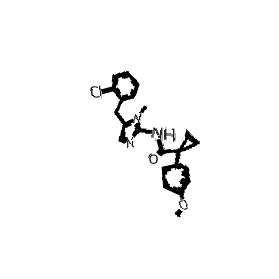 COc1ccc(C2(C(=O)Nc3ncc(Cc4ccccc4Cl)n3C)CC2)cc1